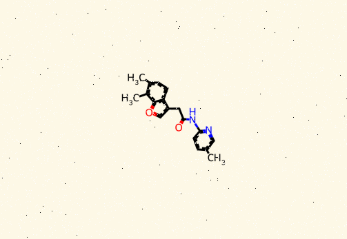 Cc1ccc(NC(=O)Cc2coc3c(C)c(C)ccc23)nc1